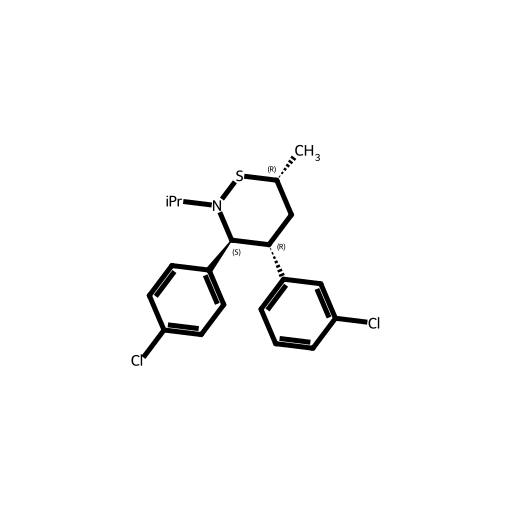 CC(C)N1S[C@H](C)C[C@H](c2cccc(Cl)c2)[C@H]1c1ccc(Cl)cc1